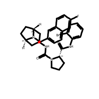 O=C(Nc1ccccc1Br)[C@@H]1CCCN1C(=O)NC1C[C@H]2CC[C@H](C1)N2Cc1ccc2cc(F)ccc2c1